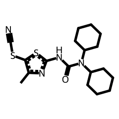 Cc1nc(NC(=O)N(C2CCCCC2)C2CCCCC2)sc1SC#N